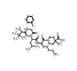 CC(C)C[C@@H](NC(=O)[C@@H](Cc1ccccc1)NC(=O)C(N)C(C)(C)C)C(=O)NC(CCCCN)C(=O)N1CCC(N)(C(=O)O)CC1